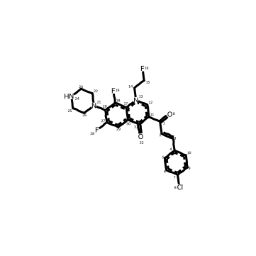 O=C(/C=C/c1ccc(Cl)cc1)c1cn(CCF)c2c(F)c(N3CCNCC3)c(F)cc2c1=O